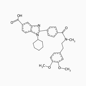 COc1ccc(CCN(C)C(=O)c2ccc(-c3nc4cc(C(=O)O)ccc4n3C3CCCCC3)cc2)cc1OC